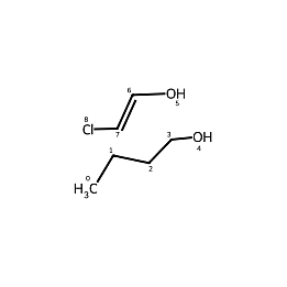 CCCCO.OC=CCl